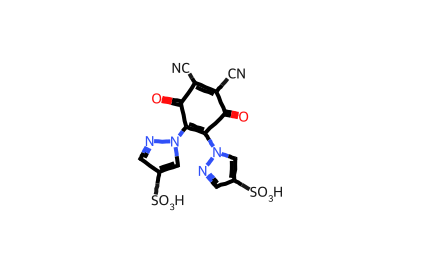 N#CC1=C(C#N)C(=O)C(n2cc(S(=O)(=O)O)cn2)=C(n2cc(S(=O)(=O)O)cn2)C1=O